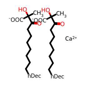 CCCCCCCCCCCCCCCCCC(=O)C(C)(O)C(=O)[O-].CCCCCCCCCCCCCCCCCC(=O)C(C)(O)C(=O)[O-].[Ca+2]